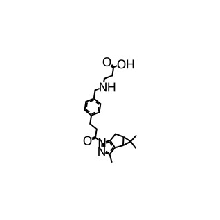 Cc1nn(C(=O)CCc2ccc(CNCCC(=O)O)cc2)c2c1C1C(C2)C1(C)C